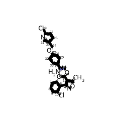 Cc1onc(-c2ccccc2Cl)c1C(=O)O/N=C(\N)c1ccc(OCc2ccc(Cl)nc2)cc1